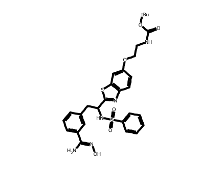 CC(C)(C)OC(=O)NCCOc1ccc2nc(C(Cc3cccc(C(N)=NO)c3)NS(=O)(=O)c3ccccc3)sc2c1